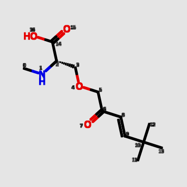 CN[C@@H](COCC(=O)/C=C/C(C)(C)C)C(=O)O